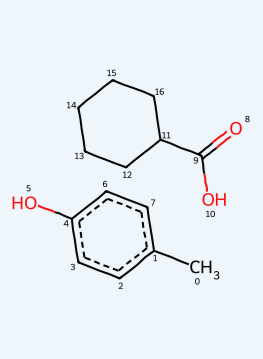 Cc1ccc(O)cc1.O=C(O)C1CCCCC1